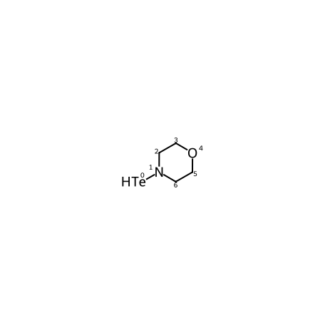 [TeH]N1CCOCC1